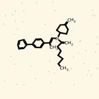 C=C1CCC(N(/C=C(\C)c2ccc(-c3ccccc3)cc2)C(=C)CCCCCC)CC1